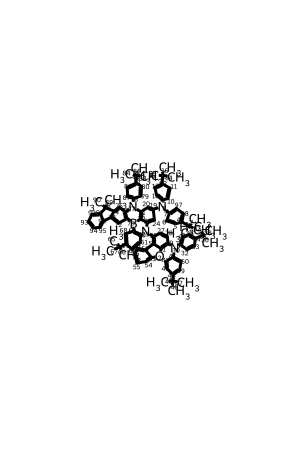 CC(C)(C)c1ccc(N(c2ccc(C(C)(C)C)cc2)c2cc3c4c(c2)N(c2ccc(N(c5ccc(C(C)(C)C)cc5)c5ccc(C(C)(C)C)cc5)c5oc6ccccc6c25)c2ccc(C(C)(C)C)cc2B4c2cc4c(cc2N3c2ccc(C(C)(C)C)cc2)C(C)(C)c2ccccc2-4)cc1